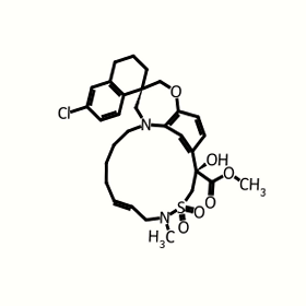 COC(=O)[C@]1(O)CS(=O)(=O)N(C)C/C=C/CCCCN2C[C@@]3(CCCc4cc(Cl)ccc43)COc3ccc1cc32